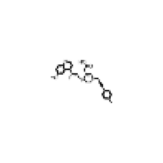 COc1ccc2nccc([C@@H](F)CC[C@@H]3CCN(CC#Cc4ccc(C)cc4)C[C@@H]3CC(=O)O)c2c1